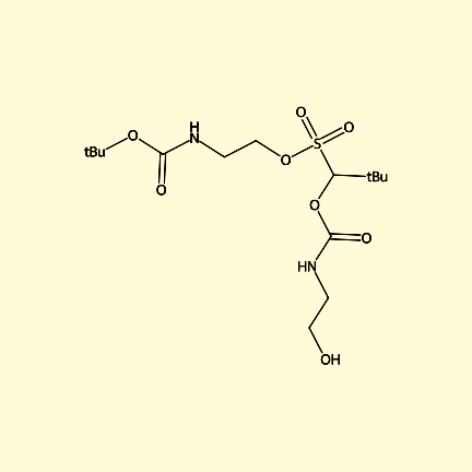 CC(C)(C)OC(=O)NCCOS(=O)(=O)C(OC(=O)NCCO)C(C)(C)C